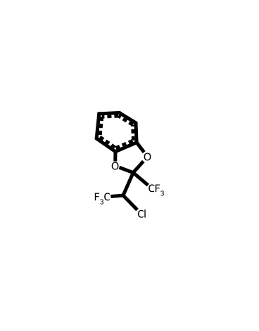 FC(F)(F)C(Cl)C1(C(F)(F)F)Oc2ccccc2O1